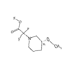 CO[C@@H]1CCCN(C(F)(F)C(=O)OF)C1